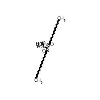 CCCCCCCCC=CCCCCCCCC(=O)O[C@H](COC(=O)CCCCCCCCCCCCCCC)COP(=O)(O)O